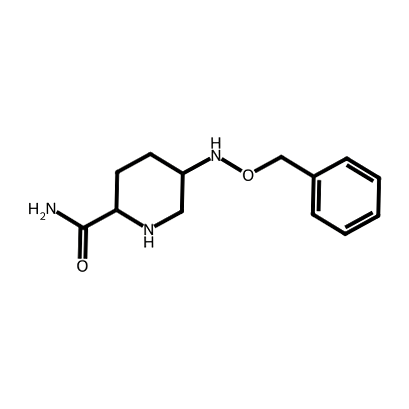 NC(=O)C1CCC(NOCc2ccccc2)CN1